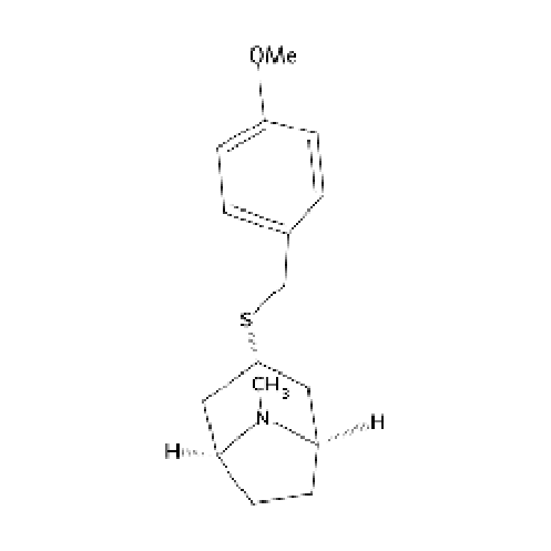 COc1ccc(CS[C@@H]2C[C@H]3CC[C@@H](C2)N3C)cc1